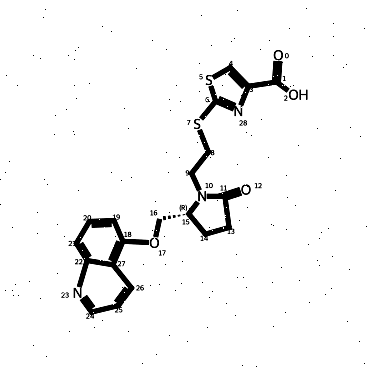 O=C(O)c1csc(SCCN2C(=O)CC[C@@H]2COc2cccc3ncccc23)n1